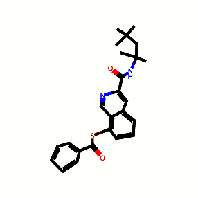 CC(C)(C)CC(C)(C)NC(=O)c1cc2cccc(SC(=O)c3ccccc3)c2cn1